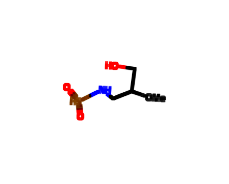 COC(CO)CN[SH](=O)=O